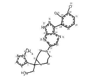 Cn1nccc1C1(CN)C2CCN(c3cnc4c(-c5cccc(Cl)c5Cl)n[nH]c4n3)CC21